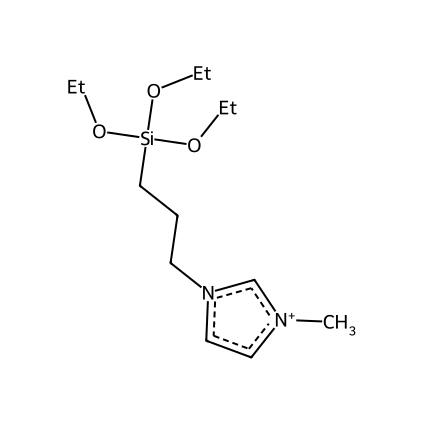 CCO[Si](CCCn1cc[n+](C)c1)(OCC)OCC